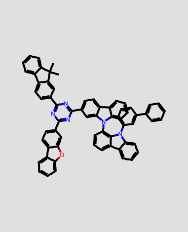 CC1(C)c2ccccc2-c2ccc(-c3nc(-c4ccc5c(c4)oc4ccccc45)nc(-c4ccc5c6ccccc6n(-c6cccc7c8ccccc8n(-c8cccc(-c9ccccc9)c8)c67)c5c4)n3)cc21